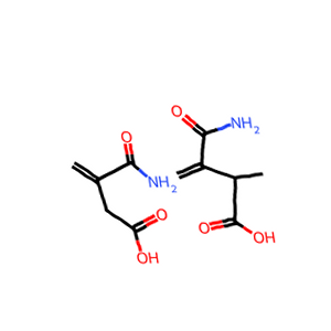 C=C(C(N)=O)C(C)C(=O)O.C=C(CC(=O)O)C(N)=O